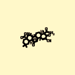 COC(=O)[C@]12CCC(C)(C)C[C@H]1[C@H]1C(=O)C=C3[C@@]4(C)C=C(C#N)C(=O)[C@@](C)(C(N)=O)[C@@H]4CC[C@@]3(C)[C@]1(C)CC2